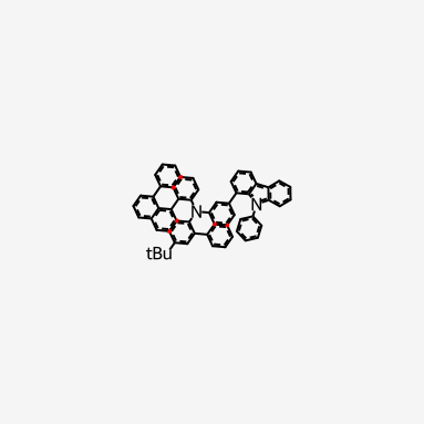 CC(C)(C)c1ccc(N(c2cccc(-c3cccc4c5ccccc5n(-c5ccccc5)c34)c2)c2ccccc2-c2cccc3cccc(-c4ccccc4)c23)c(-c2ccccc2)c1